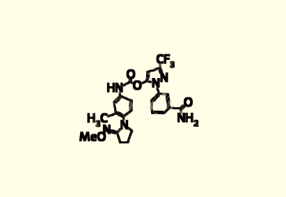 CON=C1CCCN1c1ccc(NC(=O)Oc2cc(C(F)(F)F)nn2-c2cccc(C(N)=O)c2)cc1C